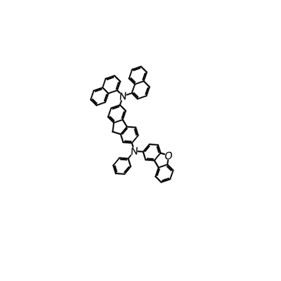 c1ccc(N(c2ccc3c(c2)Cc2ccc(N(c4cccc5ccccc45)c4cccc5ccccc45)cc2-3)c2ccc3oc4ccccc4c3c2)cc1